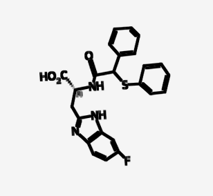 O=C(N[C@H](Cc1nc2ccc(F)cc2[nH]1)C(=O)O)C(Sc1ccccc1)c1ccccc1